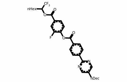 CCCCCCCCCCc1cnc(-c2ccc(C(=O)Oc3ccc(C(=O)OC(CCCCCC)C(F)(F)F)cc3F)cc2)nc1